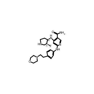 NC(=O)c1cnc(Nc2ccc(CCN3CCOCC3)cc2)cc1N[C@@H]1CCNC[C@@H]1F